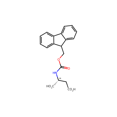 O=C(O)C[C@@H](NC(=O)OCC1c2ccccc2-c2ccccc21)C(=O)O